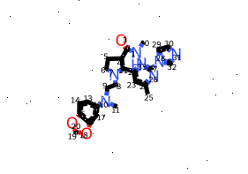 CNC(=O)C1CCN(CCN(C)c2ccc3c(c2)OCO3)C1c1cc(C)nc(-n2ccnc2)n1